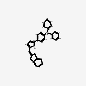 C(=C1Cc2ccccc2C1)c1ccc(-c2ccc(N(c3ccccc3)c3ccccc3)cc2)o1